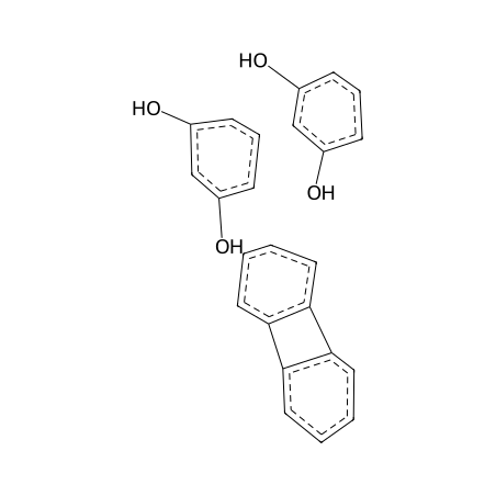 Oc1cccc(O)c1.Oc1cccc(O)c1.c1ccc2c(c1)-c1ccccc1-2